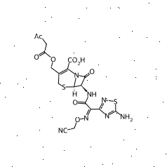 CC(=O)CC(=O)OCC1=C(C(=O)O)N2C(=O)[C@@H](NC(=O)/C(=N\OCC#N)c3nsc(N)n3)[C@H]2SC1